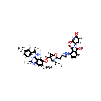 COc1cc2nc(C)nc(N[C@H](C)c3cccc(C(F)(F)F)c3F)c2cc1OCC1(CN(C)C(=O)CCCNc2cccc3c2C(=O)N(C2CCC(=O)NC2=O)C3=O)CC1